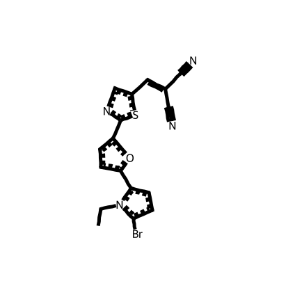 CCn1c(Br)ccc1-c1ccc(-c2ncc(C=C(C#N)C#N)s2)o1